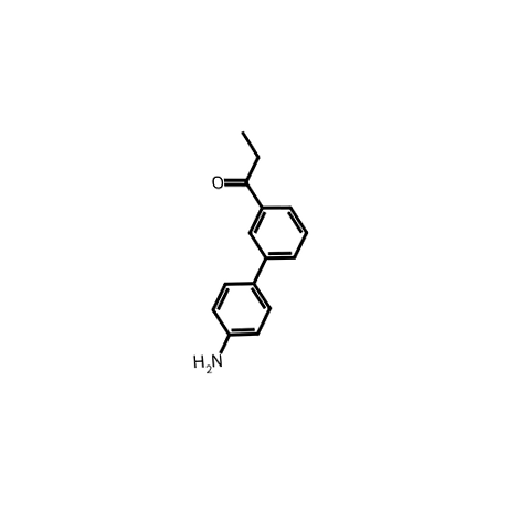 CCC(=O)c1cccc(-c2ccc(N)cc2)c1